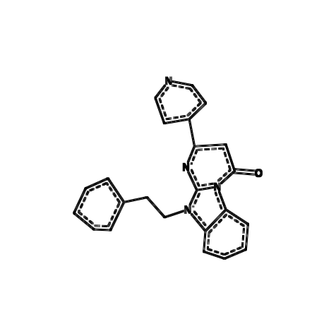 O=c1cc(-c2ccncc2)nc2n(CCc3ccccc3)c3ccccc3n12